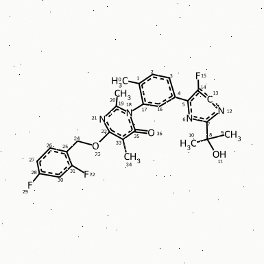 Cc1ccc(-c2nc(C(C)(C)O)ncc2F)cc1-n1c(C)nc(OCc2ccc(F)cc2F)c(C)c1=O